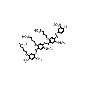 CC(=O)Nc1cc(N=Nc2cc(SCCCS(=O)(=O)O)c(N=Nc3cc(OCCCCS(=O)(=O)O)c(N)cc3C)cc2NC(C)=O)c(SCCCS(=O)(=O)O)cc1N=Nc1ccc(Cl)c(S(=O)(=O)O)c1